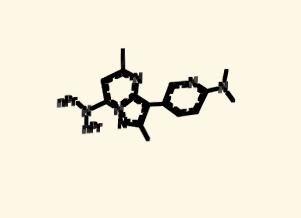 CCCN(CCC)c1cc(C)nc2c(-c3ccc(N(C)C)nc3)c(C)nn12